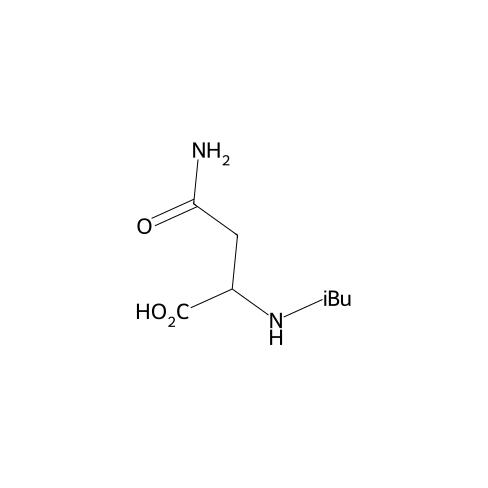 CCC(C)NC(CC(N)=O)C(=O)O